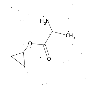 CC(N)C(=O)OC1CC1